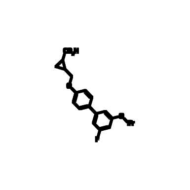 CC(C)Oc1cc(F)cc(-c2ccc(OCC3CC3C(=O)O)cc2)c1